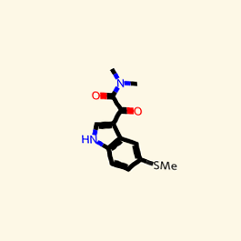 CSc1ccc2[nH]cc(C(=O)C(=O)N(C)C)c2c1